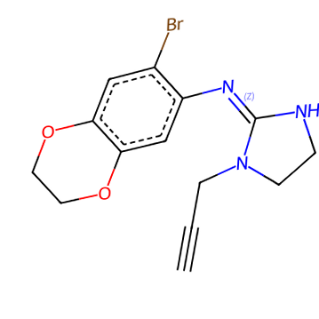 C#CCN1CCN/C1=N/c1cc2c(cc1Br)OCCO2